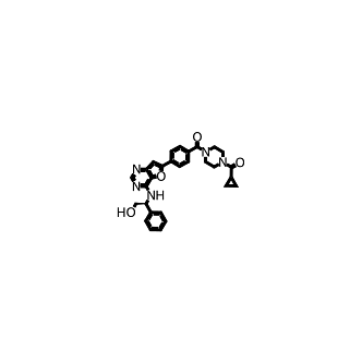 O=C(c1ccc(-c2cc3ncnc(N[C@H](CO)c4ccccc4)c3o2)cc1)N1CCN(C(=O)C2CC2)CC1